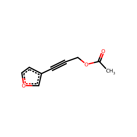 CC(=O)OCC#Cc1ccoc1